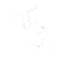 COc1cc2nccc(OC34CC3(NC(=O)CCCC3(C(=O)NC56CC(C5)C6)CCCCC3)C4)c2cc1OC